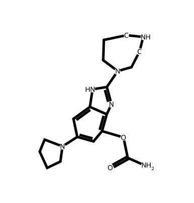 NC(=O)Oc1cc(N2CCCC2)cc2[nH]c(N3CCCNCC3)nc12